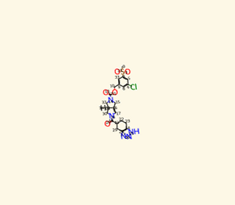 CS(=O)(=O)c1cc(Cl)cc(COC(=O)N2CC3=CN(C(=O)C4CCc5[nH]nnc5C4)C[C@H]3C2)c1